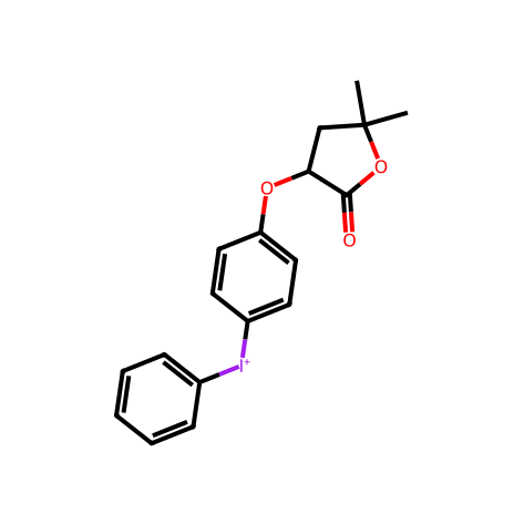 CC1(C)CC(Oc2ccc([I+]c3ccccc3)cc2)C(=O)O1